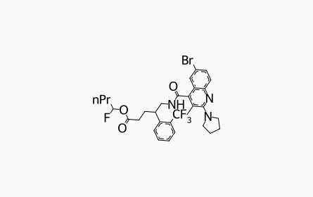 CCCC(F)OC(=O)CCC(CNC(=O)c1c(C)c(N2CCCC2)nc2ccc(Br)cc12)c1ccccc1C(F)(F)F